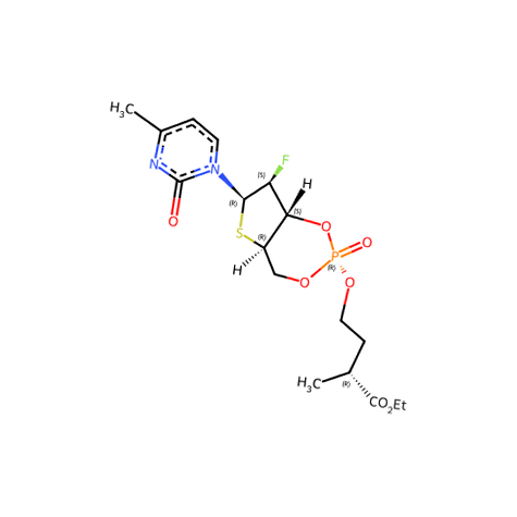 CCOC(=O)[C@H](C)CCO[P@]1(=O)OC[C@H]2S[C@@H](n3ccc(C)nc3=O)[C@@H](F)[C@@H]2O1